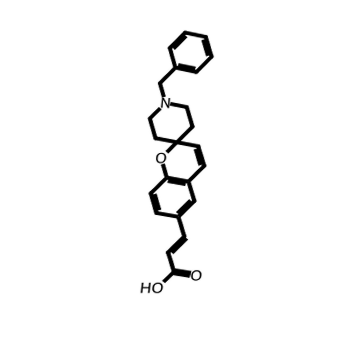 O=C(O)C=Cc1ccc2c(c1)C=CC1(CCN(Cc3ccccc3)CC1)O2